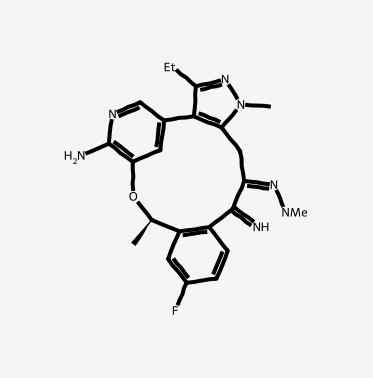 CCc1nn(C)c2c1-c1cnc(N)c(c1)O[C@H](C)c1cc(F)ccc1C(=N)/C(=N\NC)C2